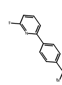 Fc1cccc(-c2ccc(CBr)cc2)n1